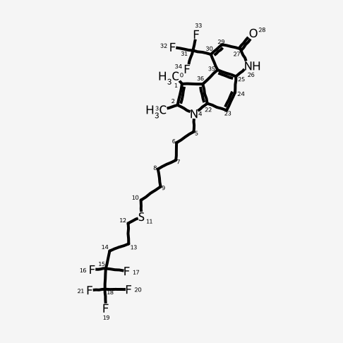 Cc1c(C)n(CCCCCCSCCCC(F)(F)C(F)(F)F)c2ccc3[nH]c(=O)cc(C(F)(F)F)c3c12